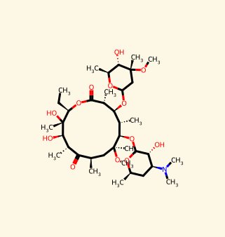 CC[C@H]1OC(=O)[C@H](C)[C@@H](OC2C[C@@](C)(OC)[C@@H](O)[C@H](C)O2)[C@H](C)[C@@H](OC2O[C@H](C)C[C@H](N(C)C)[C@H]2O)[C@@](C)(OC)C[C@@H](C)C(=O)[C@H](C)[C@@H](O)[C@]1(C)O